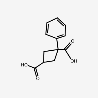 O=C(O)C1CC(C(=O)O)(c2ccccc2)C1